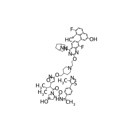 C#Cc1c(F)ccc2cc(O)cc(-c3ccc4c(N5CC6CCC(C5)N6)nc(OCCN5CCC(COc6cc(C(C(=O)N7C[C@H](O)C[C@H]7C(=O)N[C@@H](C)c7ccc(-c8scnc8C)cc7)C(C)C)on6)CC5)nc4c3F)c12